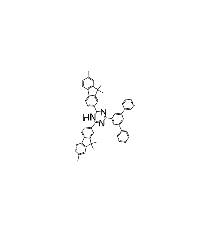 Cc1ccc2c(c1)C(C)(C)c1cc(C3=NC(c4cc(-c5ccccc5)cc(-c5ccccc5)c4)=NC(c4ccc5c(c4)C(C)(C)c4cc(C)ccc4-5)N3)ccc1-2